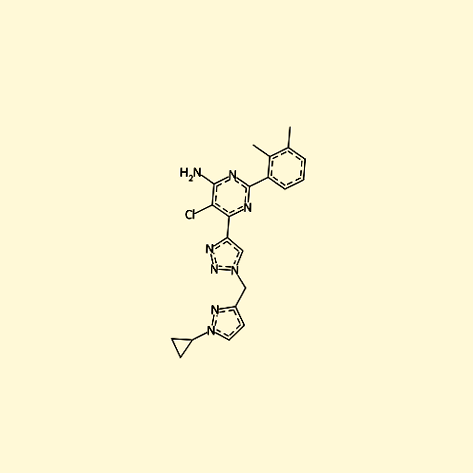 Cc1cccc(-c2nc(N)c(Cl)c(-c3cn(Cc4ccn(C5CC5)n4)nn3)n2)c1C